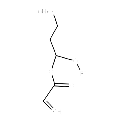 C=CC(=O)OC(CCCCCCCC)OCC